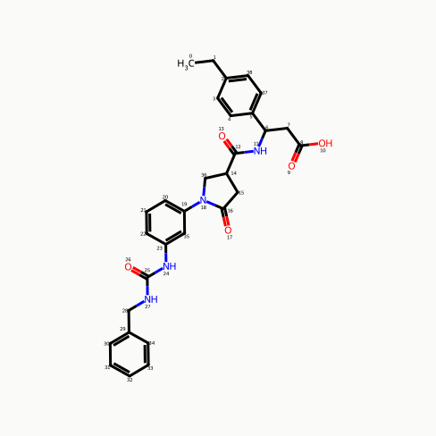 CCc1ccc(C(CC(=O)O)NC(=O)C2CC(=O)N(c3cccc(NC(=O)NCc4ccccc4)c3)C2)cc1